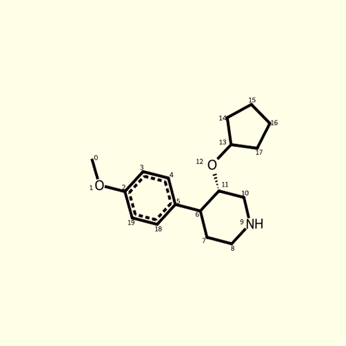 COc1ccc(C2CCNC[C@H]2OC2CCCC2)cc1